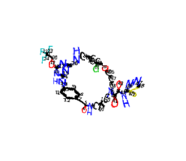 CC1(C)CNC(=O)c2ccc(cc2)Nc2nc(nc(OCC(F)(F)F)n2)NCc2ccc(c(Cl)c2)OCCCN(C(=O)C(=O)Nc2nncs2)C1